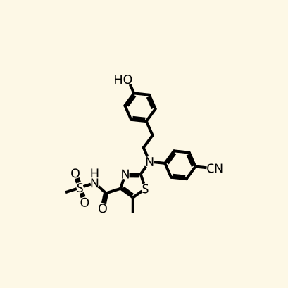 Cc1sc(N(CCc2ccc(O)cc2)c2ccc(C#N)cc2)nc1C(=O)NS(C)(=O)=O